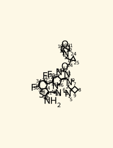 CN(CC1(N(C)C)CCC1)c1nc(OCC2(CN3C4COCC3C4)CC2)nc2c(F)c(C3=C(F)C=C(F)C4SC(N)=C(C#N)C34)ncc12